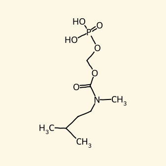 CC(C)CCN(C)C(=O)OCOP(=O)(O)O